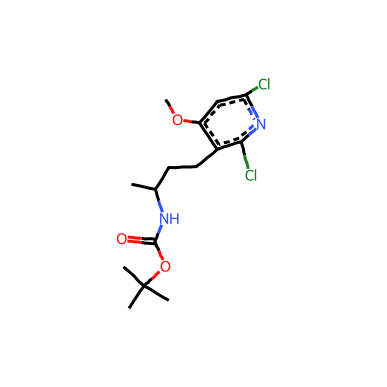 COc1cc(Cl)nc(Cl)c1CCC(C)NC(=O)OC(C)(C)C